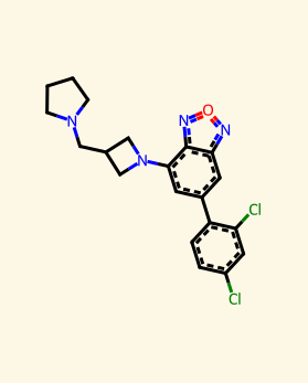 Clc1ccc(-c2cc(N3CC(CN4CCCC4)C3)c3nonc3c2)c(Cl)c1